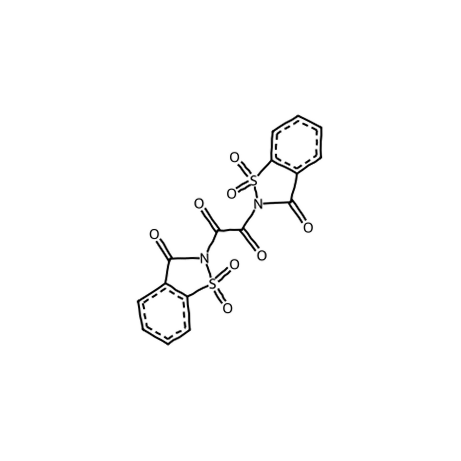 O=C(C(=O)N1C(=O)c2ccccc2S1(=O)=O)N1C(=O)c2ccccc2S1(=O)=O